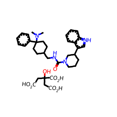 CN(C)C1(c2ccccc2)CCC(CNC(=O)N2CCCC(c3c[nH]c4ccccc34)C2)CC1.O=C(O)CC(O)(CC(=O)O)C(=O)O